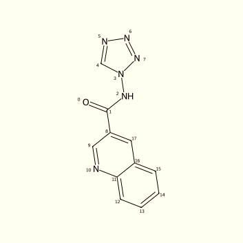 O=C(Nn1cnnn1)c1cnc2ccccc2c1